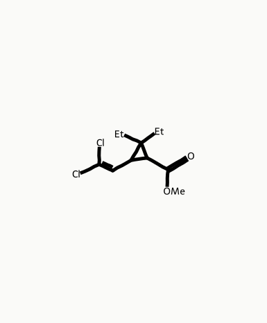 CCC1(CC)C(C=C(Cl)Cl)C1C(=O)OC